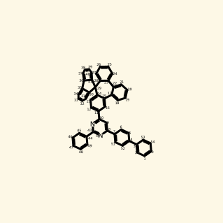 c1ccc(-c2ccc(-c3cc(-c4ccc5c(c4)-c4ccccc4-c4ccccc4C54c5ccccc5-c5ccccc54)nc(-c4ccccc4)n3)cc2)cc1